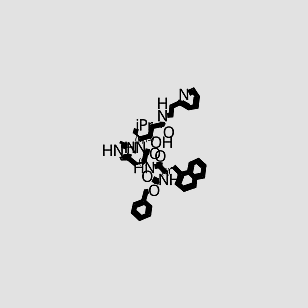 CC(C)C[C@H](NC(=O)[C@H](Cc1c[nH]cn1)NC(=O)[C@H](Cc1cccc2ccccc12)NC(=O)OCc1ccccc1)[C@@H](O)CC(=O)NCCc1ccccn1